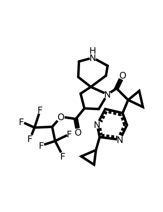 O=C(OC(C(F)(F)F)C(F)(F)F)C1CN(C(=O)C2(c3cnc(C4CC4)nc3)CC2)C2(CCNCC2)C1